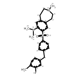 Cc1ccc(Cc2ccc(S(=O)(=O)c3cc4c(cc3N(C)C)CCN(C)CC4)cc2)cc1F